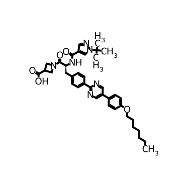 CCCCCCCOc1ccc(-c2cnc(-c3ccc(C[C@H](NC(=O)c4cnn(C(C)(C)C)c4)C(=O)N4CC(C(=O)O)C4)cc3)nc2)cc1